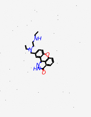 CCNCCN(CC)Cc1ccc2c(c1)-c1n[nH]c(=O)c3cccc(c13)O2